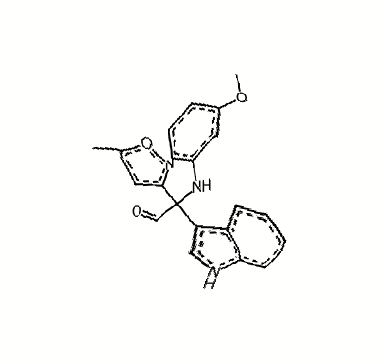 COc1cccc(NC(C=O)(c2cc(C)on2)c2c[nH]c3ccccc23)c1